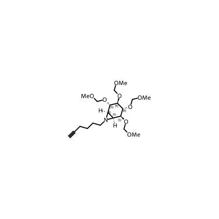 C#CCCCCN1[C@@H]2[C@H](OCOC)[C@@H](OCOC)[C@H](OCOC)[C@@H](OCOC)[C@@H]21